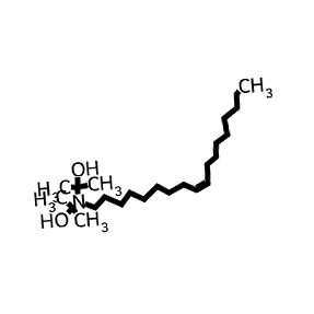 CCCCCCCC/C=C\CCCCCCCCN(C(C)(C)O)C(C)(C)O